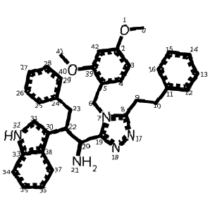 COc1ccc(Cn2c(CCc3ccccc3)nnc2C(N)C(Cc2ccccc2)c2c[nH]c3ccccc23)c(OC)c1